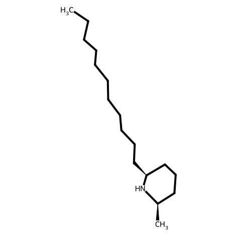 CCCCCCCCCCC[C@H]1CCC[C@@H](C)N1